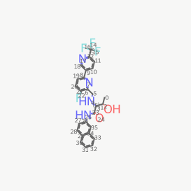 CC(O)[C@H](NCc1nc(-c2ccc(C(F)(F)F)nc2)ccc1F)C(=O)Nc1ccc2ccccc2c1